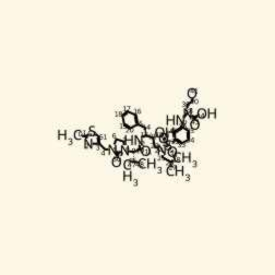 Cc1nc(CN2CCN([C@H](C(=O)N[C@@H](Cc3ccccc3)[C@H](O)CN(CC(C)C)S(=O)(=O)c3cccc(NN(CC=O)C(=O)O)c3)C(C)C)C2=O)cs1